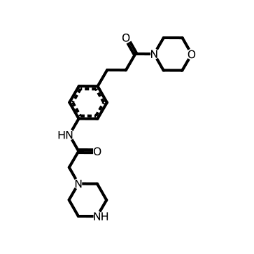 O=C(CN1CCNCC1)Nc1ccc(CCC(=O)N2CCOCC2)cc1